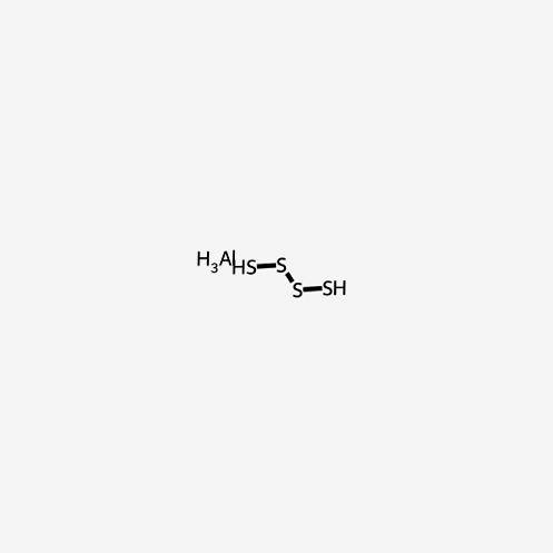 SSSS.[AlH3]